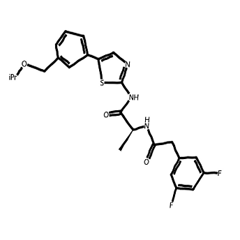 CC(C)OCc1cccc(-c2cnc(NC(=O)[C@H](C)NC(=O)Cc3cc(F)cc(F)c3)s2)c1